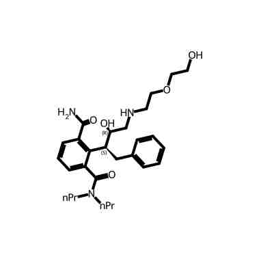 CCCN(CCC)C(=O)c1cccc(C(N)=O)c1[C@H](Cc1ccccc1)[C@@H](O)CNCCOCCO